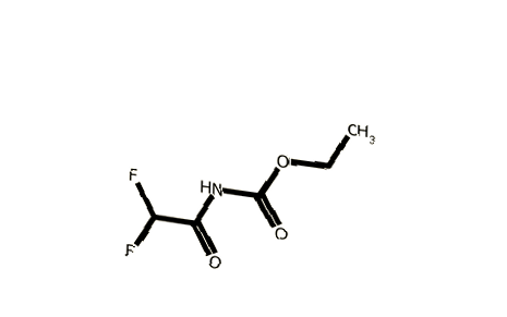 CCOC(=O)NC(=O)C(F)F